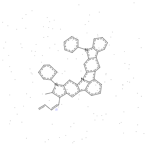 C=C/C=C\c1c(C)n(-c2ccccc2)c2cc3c(cc12)c1cccc2c4cc5c6ccccc6n(-c6ccccc6)c5cc4n3c12